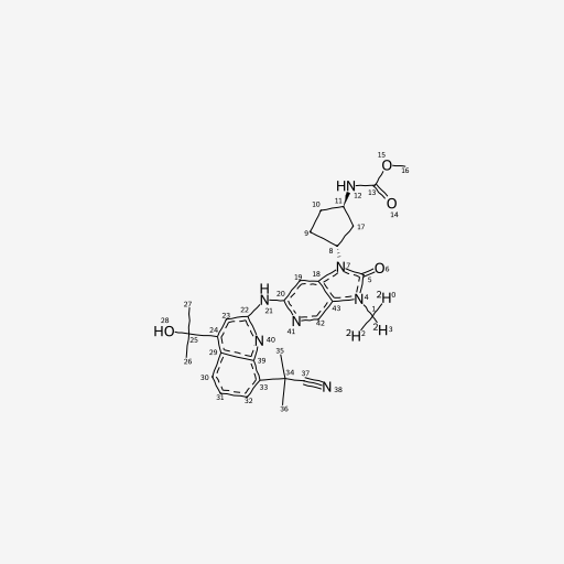 [2H]C([2H])([2H])n1c(=O)n([C@@H]2CC[C@@H](NC(=O)OC)C2)c2cc(Nc3cc(C(C)(C)O)c4cccc(C(C)(C)C#N)c4n3)ncc21